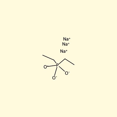 CCP([O-])([O-])([O-])CC.[Na+].[Na+].[Na+]